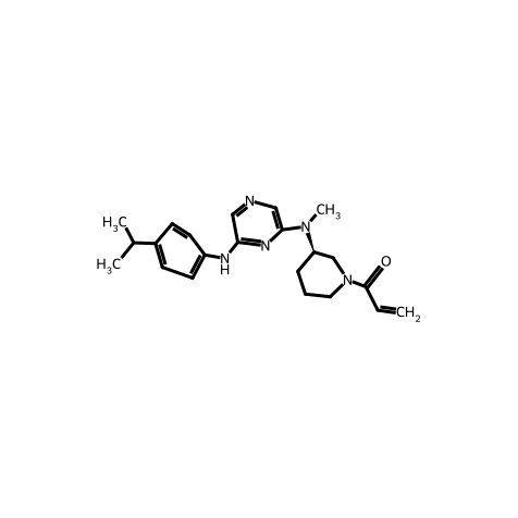 C=CC(=O)N1CCC[C@@H](N(C)c2cncc(Nc3ccc(C(C)C)cc3)n2)C1